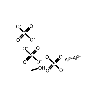 CO.O=S(=O)([O-])[O-].O=S(=O)([O-])[O-].O=S(=O)([O-])[O-].[Al+3].[Al+3]